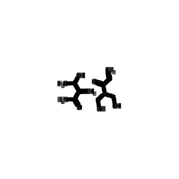 C=C(C(N)=O)C(C)O.C=CC(=O)N(CO)CO